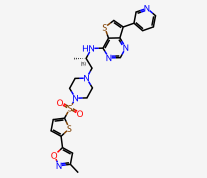 Cc1cc(-c2ccc(S(=O)(=O)N3CCN(C[C@H](C)Nc4ncnc5c(-c6cccnc6)csc45)CC3)s2)on1